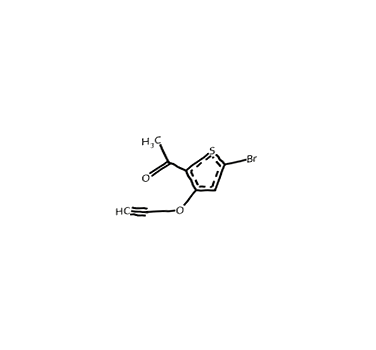 C#COc1cc(Br)sc1C(C)=O